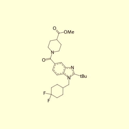 COC(=O)C1CCN(C(=O)c2ccc3c(c2)nc(C(C)(C)C)n3CC2CCC(F)(F)CC2)CC1